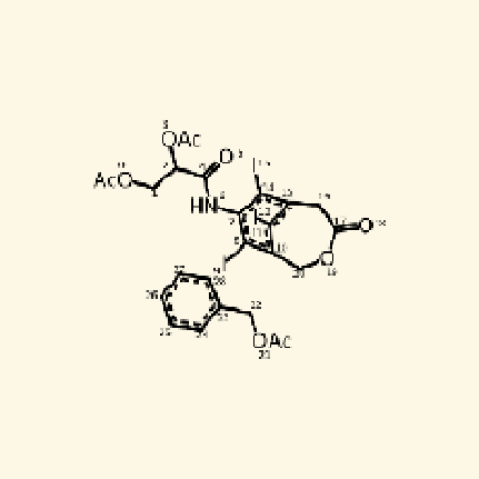 CC(=O)OCC(OC(C)=O)C(=O)Nc1c(I)c2c(I)c(c1I)CC(=O)OC2.CC(=O)OCc1ccccc1